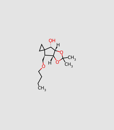 CCCCOC[C@@H]1[C@H]2OC(C)(C)O[C@H]2[C@@H](O)C12CC2